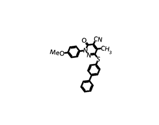 COc1ccc(-n2nc(Sc3ccc(-c4ccccc4)cc3)c(C)c(C#N)c2=O)cc1